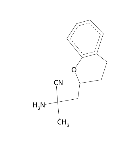 CC(N)(C#N)CC1CCc2ccccc2O1